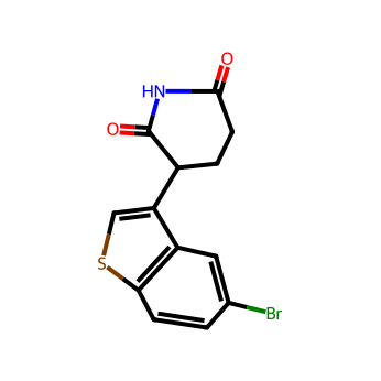 O=C1CCC(c2csc3ccc(Br)cc23)C(=O)N1